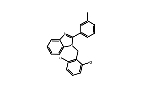 Cc1cccc(-c2nc3ccccc3n2Cc2c(Cl)cccc2Cl)c1